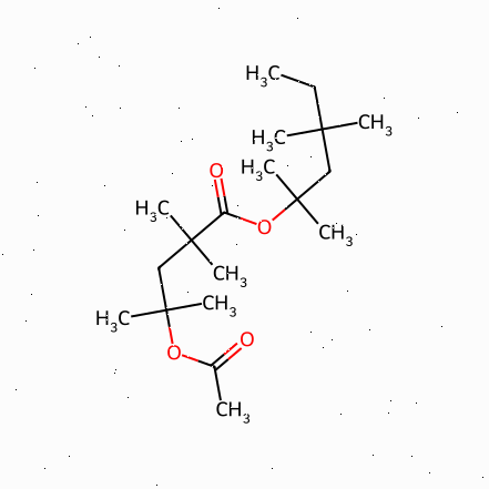 CCC(C)(C)CC(C)(C)OC(=O)C(C)(C)CC(C)(C)OC(C)=O